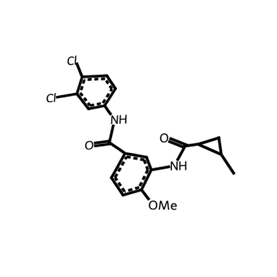 COc1ccc(C(=O)Nc2ccc(Cl)c(Cl)c2)cc1NC(=O)C1CC1C